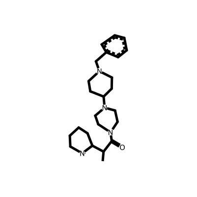 CC(C(=O)N1CCN(C2CCN(Cc3ccccc3)CC2)CC1)C1CCCC[N]1